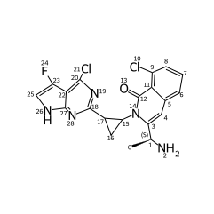 C[C@H](N)c1cc2cccc(Cl)c2c(=O)n1C1CC1c1nc(Cl)c2c(F)c[nH]c2n1